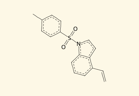 C=Cc1cccc2c1ccn2S(=O)(=O)c1ccc(C)cc1